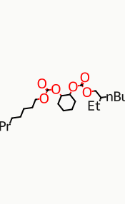 CCCCC(CC)COC(=O)OC1CCCCC1OC(=O)OCCCCCC(C)C